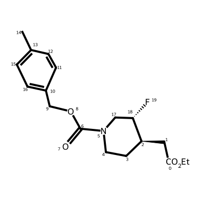 CCOC(=O)C[C@H]1CCN(C(=O)OCc2ccc(C)cc2)C[C@@H]1F